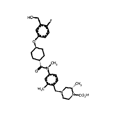 Cc1cc(N(C)C(=O)[C@H]2CC[C@H](Oc3ccc(F)c(CO)c3)CC2)ccc1CN1CCN(C(=O)O)[C@@H](C)C1